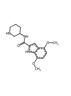 COc1ccc(OC)c2[nH]c(C(=O)NC3CCCNC3)cc12